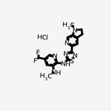 CNc1cc(C(F)F)cnc1Nc1nc(-c2cc3c(cn2)N(C)CC3)ns1.Cl